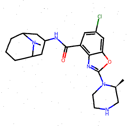 C[C@H]1CNCCN1c1nc2c(C(=O)NC3CC4CCCC(C3)N4C)cc(Cl)cc2o1